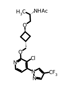 CC(=O)N[C@@H](C)CO[C@H]1C[C@H](COc2nccc(-n3cc(C(F)(F)F)cn3)c2Cl)C1